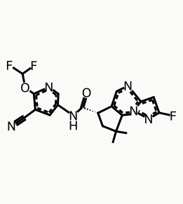 CC1(C)C[C@H](C(=O)Nc2cnc(OC(F)F)c(C#N)c2)c2cnc3cc(F)nn3c21